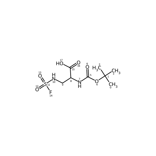 CC(C)(C)OC(=O)NC(CNS(=O)(=O)F)C(=O)O